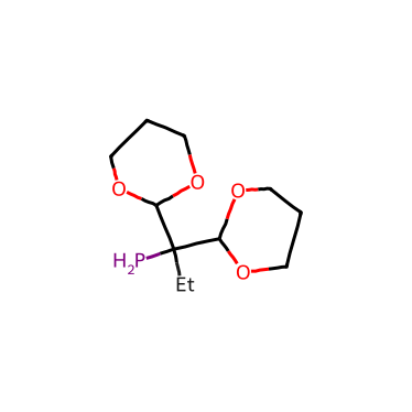 CCC(P)(C1OCCCO1)C1OCCCO1